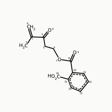 C=C(C)C(=O)CCOC(=O)c1ccccc1C(=O)O